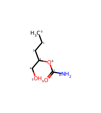 CCCC(CO)OC(N)=O